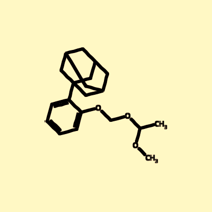 COC(C)OCOc1cc[c]cc1C12CC3CC(CC(C3)C1)C2